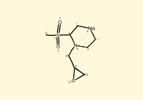 CS(=O)(=O)C1CNCCN1CC1CO1